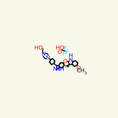 COc1ccc2c(c1)[C@]1(C[C@H]1c1ccc3c(-c4ccc(N5CCN(CCO)CC5)cc4)n[nH]c3c1)C(=O)N2.O=C(O)C(F)(F)F